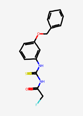 O=C(CF)NC(=S)Nc1cccc(OCc2ccccc2)c1